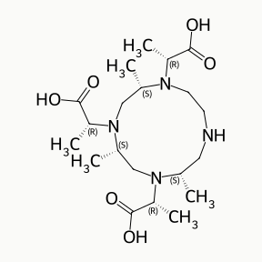 C[C@H](C(=O)O)N1CCNC[C@H](C)N([C@H](C)C(=O)O)C[C@H](C)N([C@H](C)C(=O)O)C[C@@H]1C